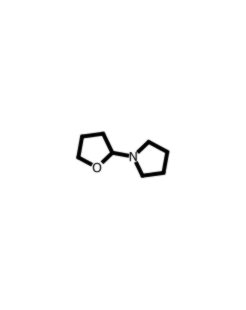 C1COC(N2CCCC2)C1